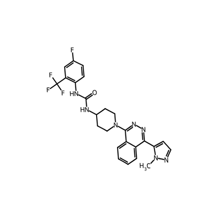 Cn1nccc1-c1nnc(N2CCC(NC(=O)Nc3ccc(F)cc3C(F)(F)F)CC2)c2ccccc12